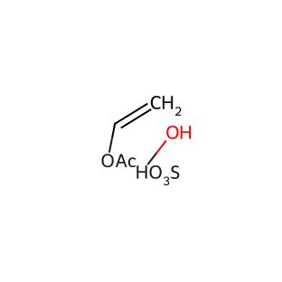 C=COC(C)=O.O=S(=O)(O)O